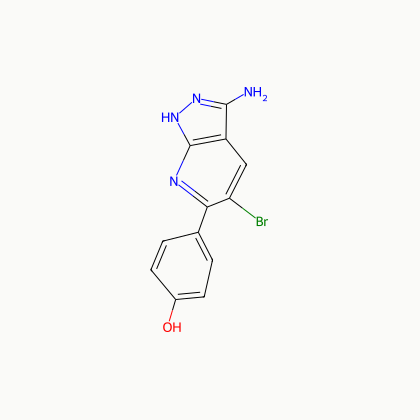 Nc1n[nH]c2nc(-c3ccc(O)cc3)c(Br)cc12